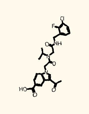 CC(=O)c1cn(CC(=O)N(CC(=O)NCc2cccc(Cl)c2F)C(C)C)c2ccc(C(=O)O)cc12